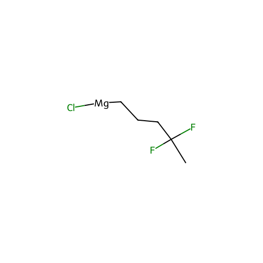 CC(F)(F)CC[CH2][Mg][Cl]